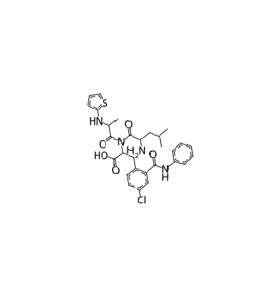 CC(C)CC(N)C(=O)N(C(=O)C(C)Nc1cccs1)C(Cc1ccc(Cl)cc1C(=O)Nc1ccccc1)C(=O)O